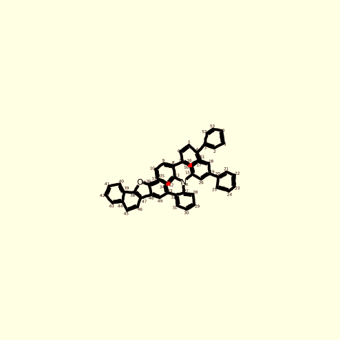 c1ccc(-c2ccc(-c3ccccc3N(c3cccc(-c4ccccc4)c3)c3ccccc3-c3ccc4oc5c6ccccc6ccc5c4c3)cc2)cc1